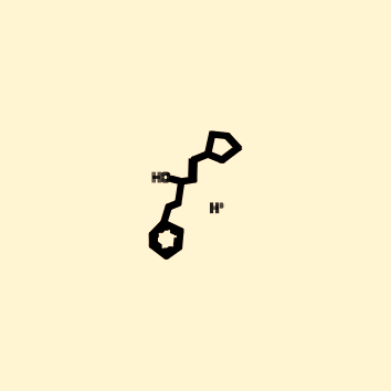 OC(C=CC1CCCC1)CCc1ccccc1.[H+]